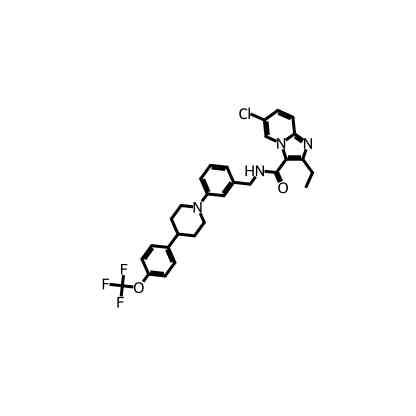 CCc1nc2ccc(Cl)cn2c1C(=O)NCc1cccc(N2CCC(c3ccc(OC(F)(F)F)cc3)CC2)c1